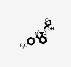 OC1(CNc2nnc([C@H]3CC[C@H](C(F)(F)F)CC3)c3ccccc23)CCOC1